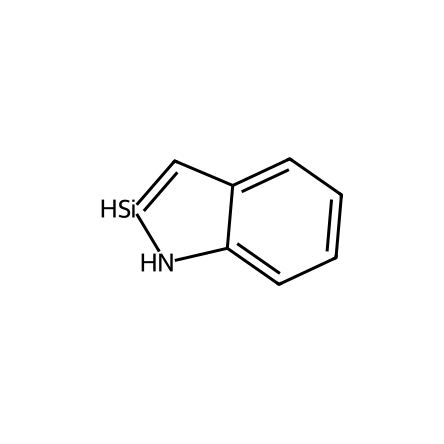 c1ccc2[nH][siH]cc2c1